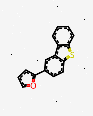 c1coc(-c2ccc3sc4ccccc4c3c2)c1